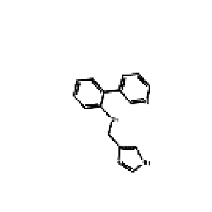 c1cncc(-c2ccccc2NCc2c[nH]cn2)c1